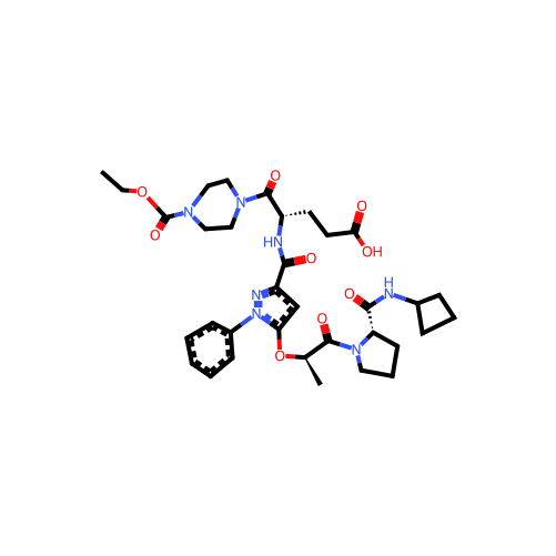 CCOC(=O)N1CCN(C(=O)[C@H](CCC(=O)O)NC(=O)c2cc(O[C@H](C)C(=O)N3CCC[C@H]3C(=O)NC3CCC3)n(-c3ccccc3)n2)CC1